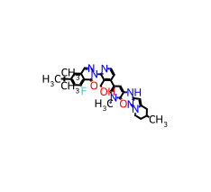 CC1CCn2nc(Nc3cc(-c4ccnc(-n5ncc6cc(C(C)(C)C)cc(F)c6c5=O)c4CO)cn(C)c3=O)cc2C1